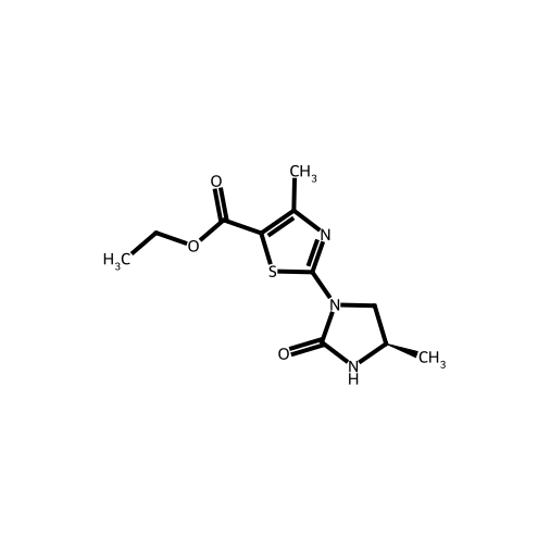 CCOC(=O)c1sc(N2C[C@@H](C)NC2=O)nc1C